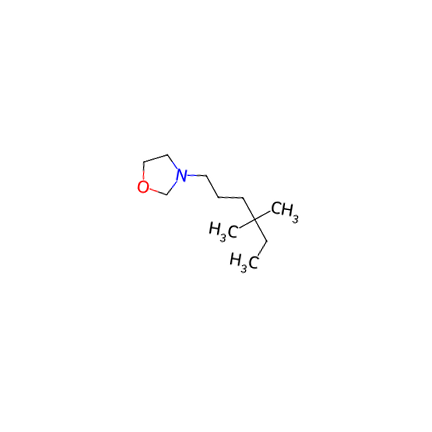 CCC(C)(C)CCCN1CCOC1